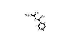 COC(=O)CC(c1ccccc1)C(C)C